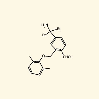 CCC(N)(CC)c1ccc(C=O)c(COc2c(C)cccc2C)c1